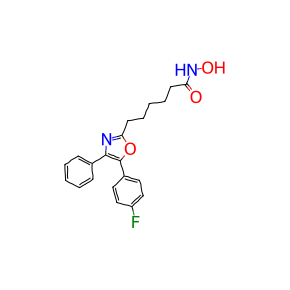 O=C(CCCCCc1nc(-c2ccccc2)c(-c2ccc(F)cc2)o1)NO